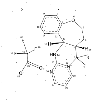 CC1(C)[C@H]2CCOc3ccccc3[C@H]2Nc2nccc[n+]21.O=C([O-])C(F)(F)F